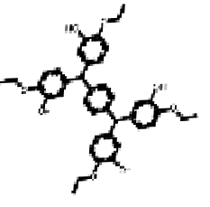 CCOc1ccc(C(c2ccc(C(c3ccc(OCC)c(O)c3)c3ccc(OCC)c(O)c3)cc2)c2ccc(OCC)c(O)c2)cc1O